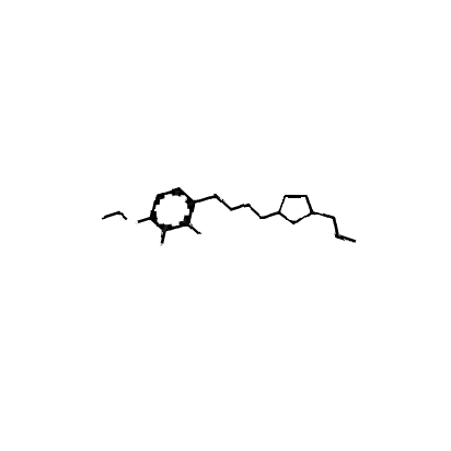 CCCC1CCC(CCCCc2ccc(OCC)c(F)c2F)C1